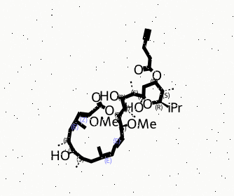 C#CCCC(=O)O[C@@H]1C[C@](O)([C@@H](C)[C@H](O)[C@H](C)[C@H]2OC(=O)/C(OC)=C/C(C)=C/[C@@H](C)[C@@H](O)[C@@H](C)C/C(C)=C/C=C/[C@@H]2OC)O[C@H](C(C)C)[C@H]1C